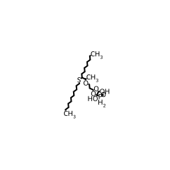 CCCCCCCCCCCSC(CCCCCCCC)C(C)OCCCOC(O)([PH2]=O)C(=O)O